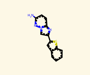 Nc1ccc2nc(-c3cc4ccccc4s3)cn2n1